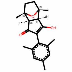 Cc1cc(C)c(C2=C(O)[C@H]3[C@@H](C2=O)[C@]2(C)CC[C@@]3(C)O2)c(C)c1